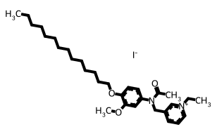 CCCCCCCCCCCCCCOc1ccc(N(Cc2ccc[n+](CC)c2)C(C)=O)cc1OC.[I-]